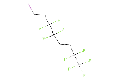 FC(F)(F)C(F)(F)CCC(F)(F)C(F)(F)CCI